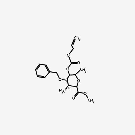 C=CCOC(=O)OC1C(C)OC(C(=O)OC)[C@@H](C)[C@H]1OCc1ccccc1